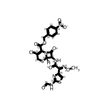 CON=C(C(=O)NC1C(=O)N2C(C(=O)OCc3ccc([N+](=O)[O-])cc3)=C(Cl)CS[C@@H]12)c1csc(NC=O)n1